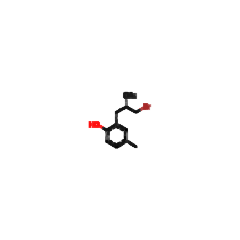 CC(=O)OC(CBr)Cc1cc(C)ccc1O